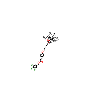 CC(C)C(C)(C)CC1(C(=O)OCCCCCCOc2ccc(/C=C/C(=O)OCc3cc(F)c(F)c(F)c3)cc2)C(C)(C)C1(C)C(C)C